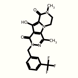 Cc1nn(Cc2cccc(C(F)(F)F)c2)c(=O)c2c(O)c3n(c12)CCN(C)C3=O